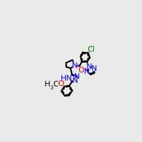 COc1ccccc1-c1nnc(C2CCCN2C(=O)c2ccc(Cl)cc2-n2nccn2)[nH]1